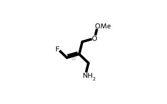 COOC/C(=C\F)CN